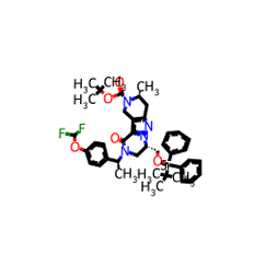 C[C@@H]1Cc2nn3c(c2CN1C(=O)OC(C)(C)C)C(=O)N([C@@H](C)c1ccc(OC(F)F)cc1)C[C@H]3CO[Si](c1ccccc1)(c1ccccc1)C(C)(C)C